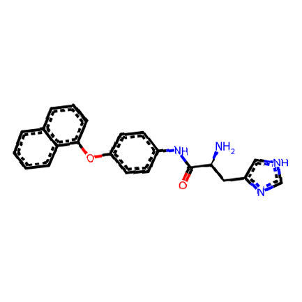 N[C@@H](Cc1c[nH]cn1)C(=O)Nc1ccc(Oc2cccc3ccccc23)cc1